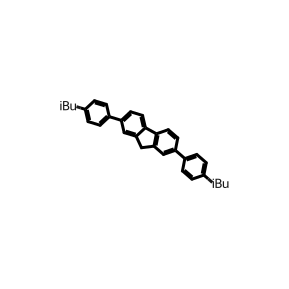 CCC(C)c1ccc(-c2ccc3c(c2)Cc2cc(-c4ccc(C(C)CC)cc4)ccc2-3)cc1